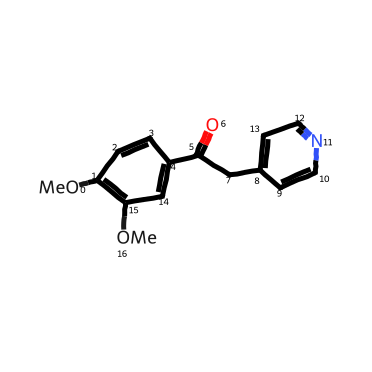 COc1ccc(C(=O)Cc2ccncc2)cc1OC